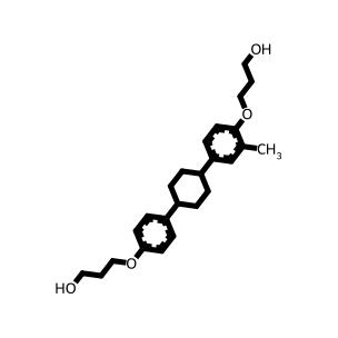 Cc1cc(C2CCC(c3ccc(OCCCO)cc3)CC2)ccc1OCCCO